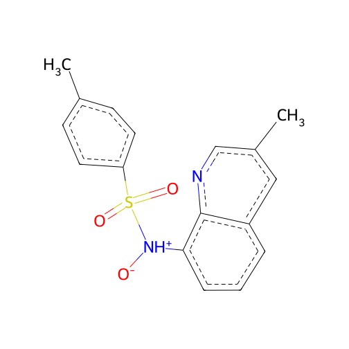 Cc1ccc(S(=O)(=O)[NH+]([O-])c2cccc3cc(C)cnc23)cc1